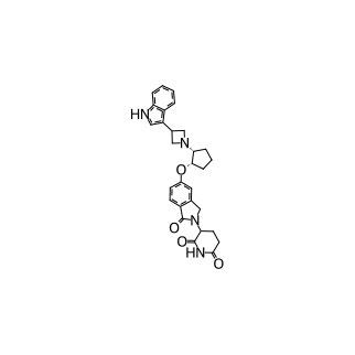 O=C1CCC(N2Cc3cc(O[C@H]4CCC[C@H]4N4CC(c5c[nH]c6ccccc56)C4)ccc3C2=O)C(=O)N1